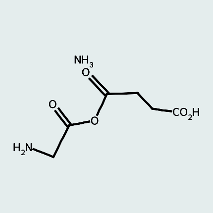 N.NCC(=O)OC(=O)CCC(=O)O